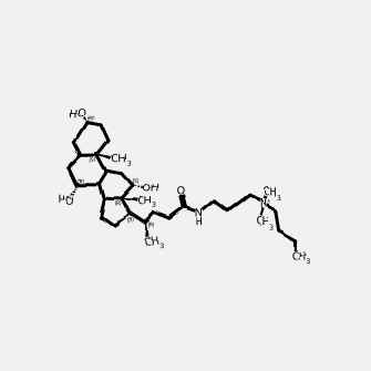 CCCC[N+](C)(C)CCCNC(=O)CC[C@@H](C)[C@H]1CCC2C3C(C[C@H](O)[C@@]21C)[C@@]1(C)CC[C@@H](O)CC1C[C@H]3O